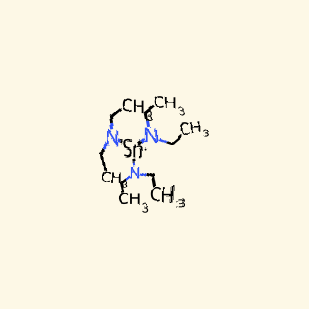 CC[N](CC)[Sn]([N](CC)CC)[N](CC)CC